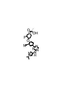 CC(C)n1cc(Nc2ncnc(-c3ccc(O[C@H]4CCN(C(=O)[C@H](C)O)C[C@@H]4F)c(C#N)c3)n2)cn1